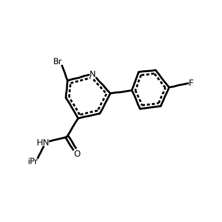 CC(C)NC(=O)c1cc(Br)nc(-c2ccc(F)cc2)c1